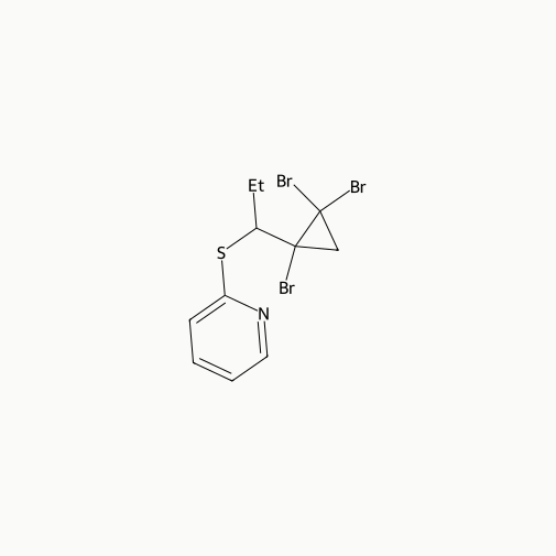 CCC(Sc1ccccn1)C1(Br)CC1(Br)Br